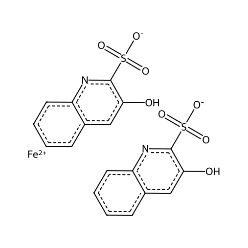 O=S(=O)([O-])c1nc2ccccc2cc1O.O=S(=O)([O-])c1nc2ccccc2cc1O.[Fe+2]